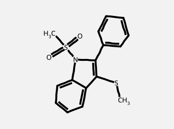 CSc1c(-c2ccccc2)n(S(C)(=O)=O)c2ccccc12